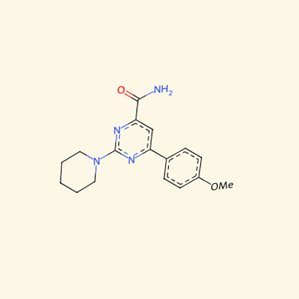 COc1ccc(-c2cc(C(N)=O)nc(N3CCCCC3)n2)cc1